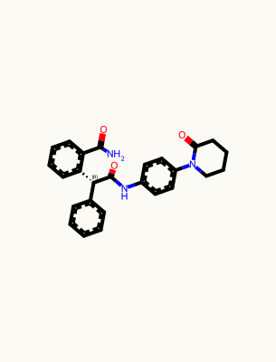 NC(=O)c1ccccc1[C@H](C(=O)Nc1ccc(N2CCCCC2=O)cc1)c1ccccc1